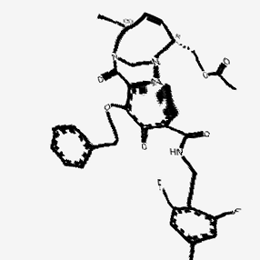 CC(=O)OC[C@H]1C=C[C@H](C)N2CN1n1cc(C(=O)NCc3c(F)cc(F)cc3F)c(=O)c(OCc3ccccc3)c1C2=O